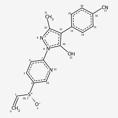 C=C[S@@+]([O-])c1ccc(-n2nc(C)c(-c3ccc(C#N)cc3)c2O)nc1